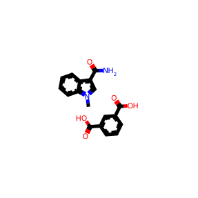 Cn1cc(C(N)=O)c2ccccc21.O=C(O)c1cccc(C(=O)O)c1